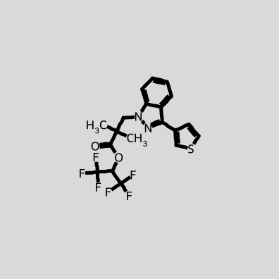 CC(C)(Cn1nc(-c2ccsc2)c2ccccc21)C(=O)OC(C(F)(F)F)C(F)(F)F